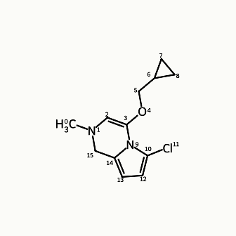 CN1C=C(OCC2CC2)n2c(Cl)ccc2C1